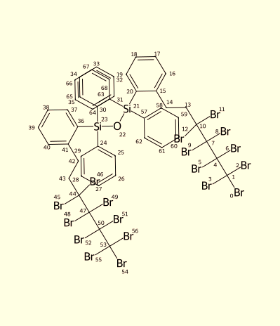 BrC(Br)(Br)C(Br)(Br)C(Br)(Br)C(Br)(Br)CCc1ccccc1[Si](O[Si](c1ccccc1)(c1ccccc1)c1ccccc1CCC(Br)(Br)C(Br)(Br)C(Br)(Br)C(Br)(Br)Br)(c1ccccc1)c1ccccc1